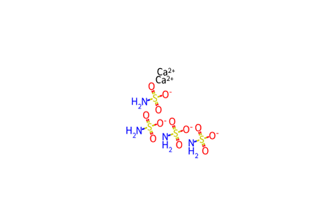 NS(=O)(=O)[O-].NS(=O)(=O)[O-].NS(=O)(=O)[O-].NS(=O)(=O)[O-].[Ca+2].[Ca+2]